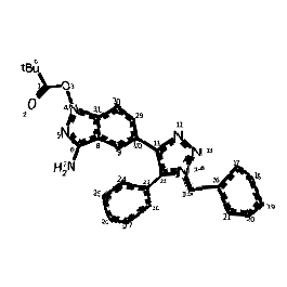 CC(C)(C)C(=O)On1nc(N)c2cc(-c3nnn(Cc4ccccc4)c3-c3ccccc3)ccc21